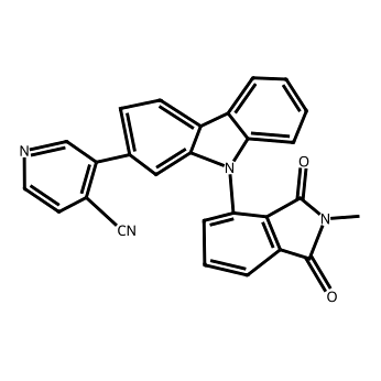 CN1C(=O)c2cccc(-n3c4ccccc4c4ccc(-c5cnccc5C#N)cc43)c2C1=O